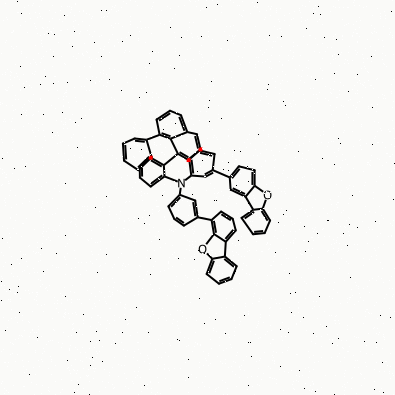 c1ccc(-c2cccc3cccc(-c4ccccc4N(c4cccc(-c5ccc6oc7ccccc7c6c5)c4)c4cccc(-c5cccc6c5oc5ccccc56)c4)c23)cc1